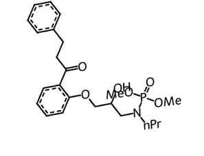 CCCN(CC(O)COc1ccccc1C(=O)CCc1ccccc1)P(=O)(OC)OC